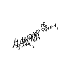 CC(C)(C)OC(=O)NCC(=O)Nc1cn2cc(-c3cnc(N)c(C(F)(F)F)c3)ccc2n1